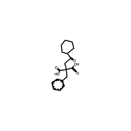 O=C(CC(Cc1ccccc1)(C(=O)O)C(=O)O)C1CCCCC1